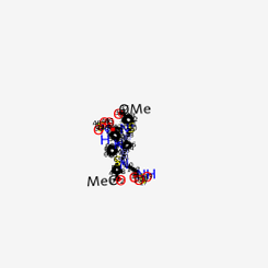 COC(=O)c1ccc2c(c1)N(CCCC(=O)NS(C)(=O)=O)/C(=C/C=C1\CCC(/C=C/c3sc4ccc(C(=O)OC)cc4[n+]3CCCC(=O)NS(C)(=O)=O)=C1N(c1ccccc1)c1ccccc1)S2